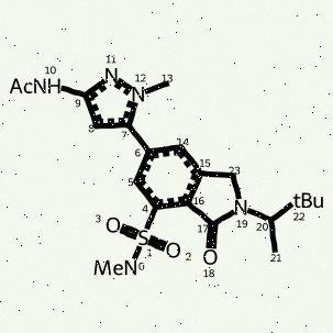 CNS(=O)(=O)c1cc(-c2cc(NC(C)=O)nn2C)cc2c1C(=O)N(C(C)C(C)(C)C)C2